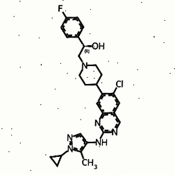 Cc1c(Nc2ncc3cc(Cl)c(C4CCN(C[C@H](O)c5ccc(F)cc5)CC4)cc3n2)cnn1C1CC1